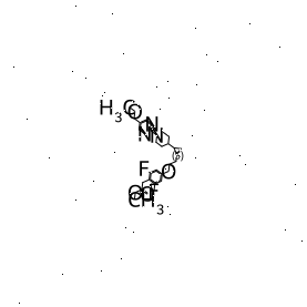 COCc1cnc(N2CCC(C3C[C@H]3CCOc3cc(F)c(CC(=O)OC)c(F)c3)CC2)nc1